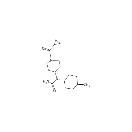 C[C@H]1CC[C@H](N(C(N)=O)C2CCN(C(=O)C3CC3)CC2)CC1